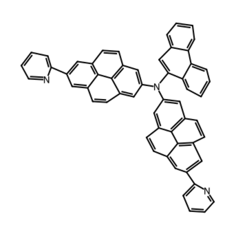 c1ccc(-c2cc3ccc4cc(N(c5cc6ccc7cc(-c8ccccn8)cc8ccc(c5)c6c78)c5cc6ccccc6c6ccccc56)cc5ccc(c2)c3c45)nc1